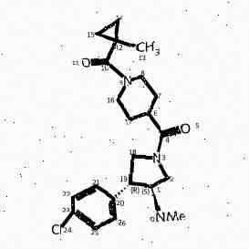 CN[C@@H]1CN(C(=O)C2CCN(C(=O)C3(C)CC3)CC2)C[C@H]1c1ccc(Cl)cc1